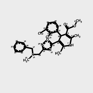 COC(=O)C1=C(C)NC(C)=C(c2nc(CN(C)Cc3ccccc3)no2)C1c1cccc(Cl)c1Cl